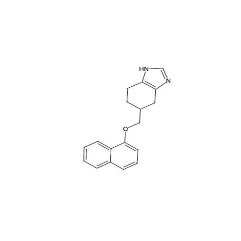 c1ccc2c(OCC3CCc4[nH]cnc4C3)cccc2c1